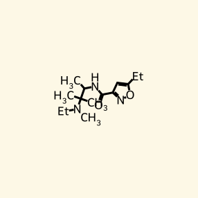 CCc1cc(C(=O)NC(C)C(C)(C)N(C)CC)no1